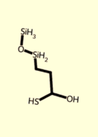 OC(S)CC[SiH2]O[SiH3]